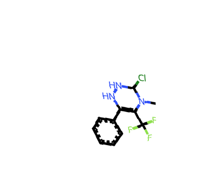 CN1C(C(F)(F)F)=C(c2ccccc2)NNC1Cl